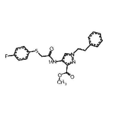 COC(=O)c1nn(CCc2ccccc2)cc1NC(=O)CSc1ccc(F)cc1